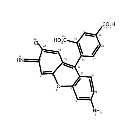 N=c1cc2oc3cc(N)ccc3c(-c3ccc(C(=O)O)cc3C(=O)O)c-2cc1Cl